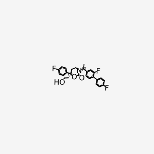 C[C@@H](c1ccc(-c2ccc(F)cc2)c(F)c1)N1CC[C@](CCO)(c2ccc(F)cc2)OC1=O